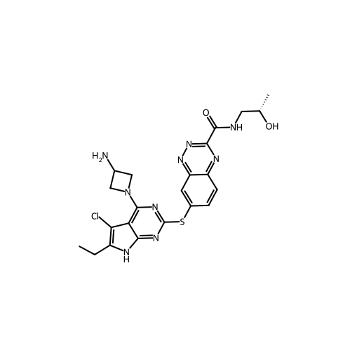 CCc1[nH]c2nc(Sc3ccc4nc(C(=O)NC[C@H](C)O)nnc4c3)nc(N3CC(N)C3)c2c1Cl